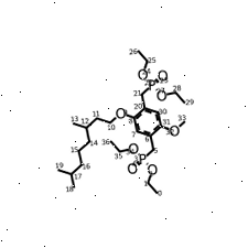 CCOP(=O)(Cc1cc(OCCC(C)CCCC(C)C)c(CP(=O)(OCC)OCC)cc1OC)OCC